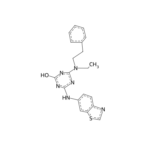 CCN(CCc1ccccc1)c1nc(O)nc(Nc2ccc3ncsc3c2)n1